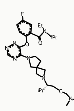 CCN(C(=O)c1cc(F)ccc1Oc1nncnc1N1CCC2(C1)CN([C@H](CCCN(C)C)C(C)C)C2)C(C)C